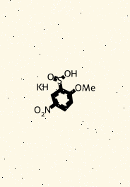 COc1ccc([N+](=O)[O-])cc1S(=O)O.[KH]